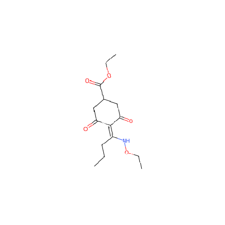 CCCC(NOCC)=C1C(=O)CC(C(=O)OCC)CC1=O